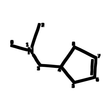 CN(C)CC1CC=CC1